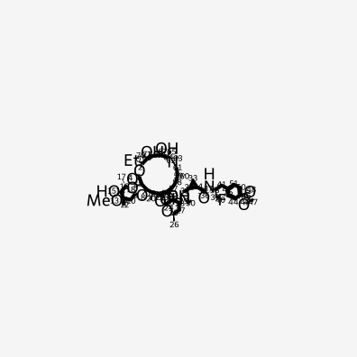 CC[C@H]1OC(=O)[C@H](C)[C@@H](O[C@H]2C[C@@](C)(OC)[C@@H](O)[C@H](C)O2)[C@H](C)[C@@H](O[C@@H]2O[C@H](C)C[C@H](N(C)CC3CC3C(=O)N[C@H](CF)Cc3ccc(S(C)(=O)=O)cc3)[C@H]2O)[C@](C)(O)CC[C@@H](C)CN(C)[C@H](C)[C@@H](O)C[C@]1(C)O